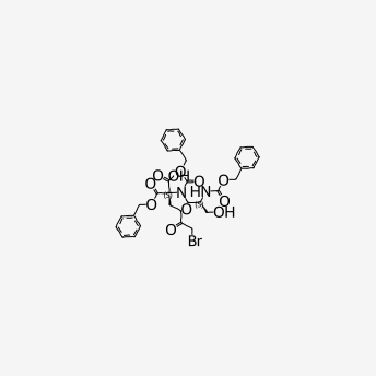 O=C(CBr)CC[C@](C(=O)O)(C(=O)OCc1ccccc1)N(C(=O)OCc1ccccc1)C(=O)[C@H](CO)NC(=O)OCc1ccccc1